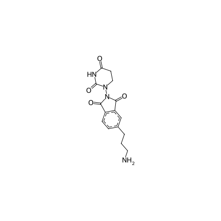 NCCCc1ccc2c(c1)C(=O)N(N1CCC(=O)NC1=O)C2=O